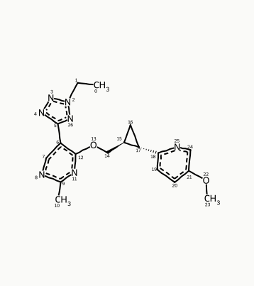 CCn1nnc(-c2cnc(C)nc2OC[C@H]2C[C@@H]2c2ccc(OC)cn2)n1